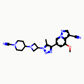 COc1cc(-c2nnn(C3CN(C4CCN(C#N)CC4)C3)c2C)cn2ncc(C#N)c12